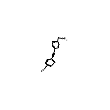 CCc1ccc(C#Cc2ccc(CN)cc2)cc1